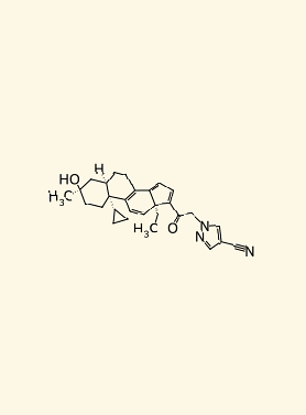 CC[C@]12C=CC3=C(CC[C@@H]4C[C@](C)(O)CC[C@]34C3CC3)C1=CC=C2C(=O)Cn1cc(C#N)cn1